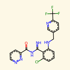 N=C(NC(=O)c1cccnn1)c1c(Cl)cccc1NCc1ccc(C(F)(F)F)nc1